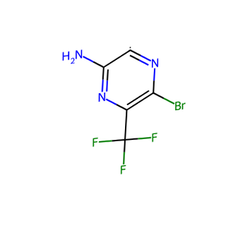 Nc1[c]nc(Br)c(C(F)(F)F)n1